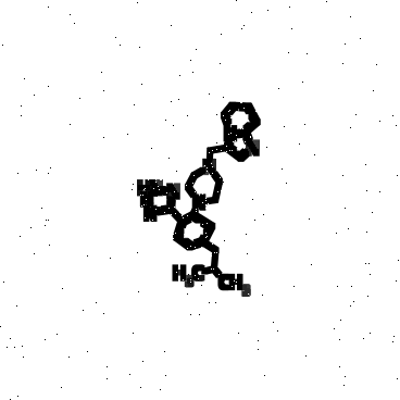 CC(C)Cc1ccc(-c2nn[nH]n2)c(N2CCN(Cc3cnc4ccccn34)CC2)c1